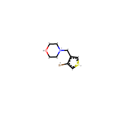 Brc1cscc1CN1CCOCC1